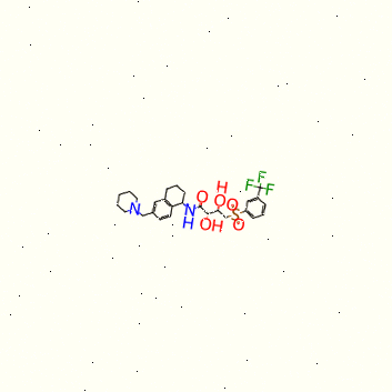 O=C(N[C@@H]1CCCc2cc(CN3CCCCC3)ccc21)[C@@H](O)[C@@H](O)CS(=O)(=O)c1cccc(C(F)(F)F)c1